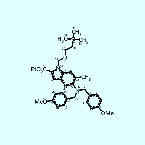 CCOC(=O)c1cc2nc(N(Cc3ccc(OC)cc3)Cc3ccc(OC)cc3)c(C)cc2n1COCC[Si](C)(C)C